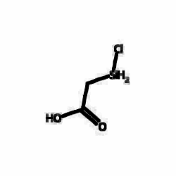 O=C(O)C[SiH2]Cl